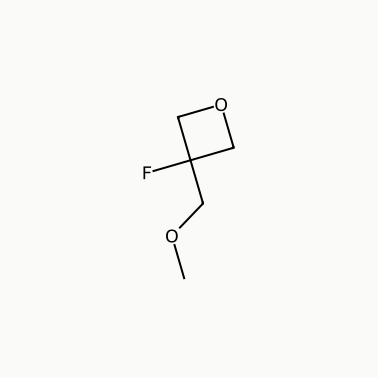 COCC1(F)COC1